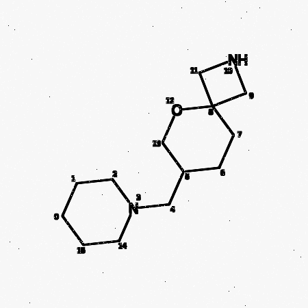 C1CCN(CC2CCC3(CNC3)OC2)CC1